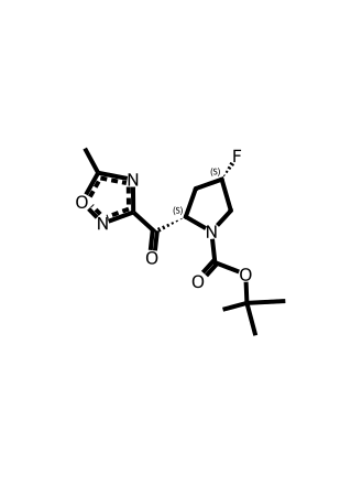 Cc1nc(C(=O)[C@@H]2C[C@H](F)CN2C(=O)OC(C)(C)C)no1